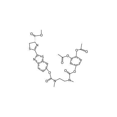 COC(=O)[C@H]1CSC(c2nc3ccc(OC(=O)N(C)CCN(C)C(=O)Oc4ccc(OC(C)=O)c(OC(C)=O)c4)cc3s2)=N1